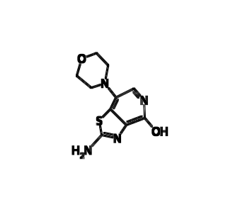 Nc1nc2c(O)ncc(N3CCOCC3)c2s1